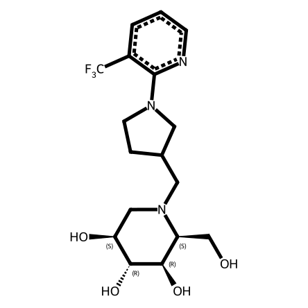 OC[C@H]1[C@@H](O)[C@H](O)[C@@H](O)CN1CC1CCN(c2ncccc2C(F)(F)F)C1